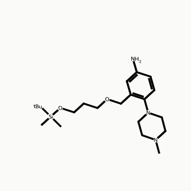 CN1CCN(c2ccc(N)cc2COCCCO[Si](C)(C)C(C)(C)C)CC1